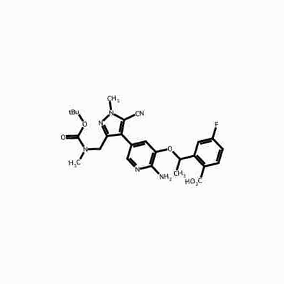 CC(Oc1cc(-c2c(CN(C)C(=O)OC(C)(C)C)nn(C)c2C#N)cnc1N)c1cc(F)ccc1C(=O)O